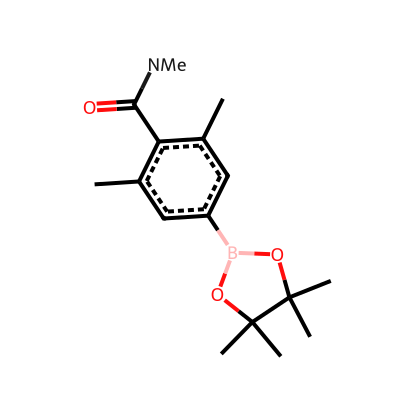 CNC(=O)c1c(C)cc(B2OC(C)(C)C(C)(C)O2)cc1C